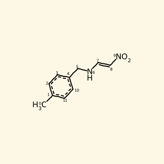 Cc1ccc(CNC=C[N+](=O)[O-])cc1